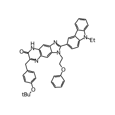 CCn1c2ccccc2c2cc(-c3nc4cc5[nH]c(=O)c(Cc6ccc(OC(C)(C)C)cc6)nc5cc4n3CCOc3ccccc3)ccc21